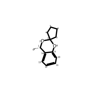 [CH2][C@@H]1OC2(CCCC2)Oc2ccccc21